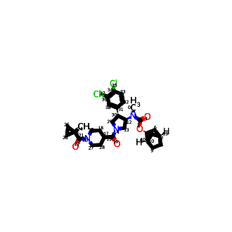 CN(C(=O)O[C@@H]1C[C@H]2CC[C@@H]1C2)[C@H]1CN(C(=O)C2CCN(C(=O)C3(C)CC3)CC2)C[C@@H]1c1ccc(Cl)c(Cl)c1